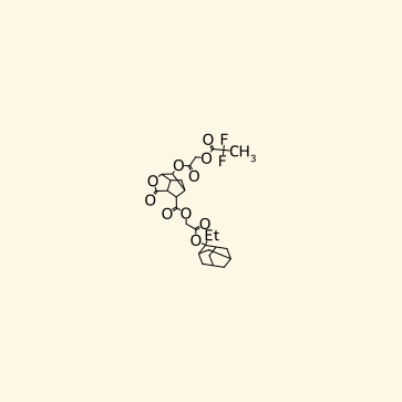 CCC1(OC(=O)COC(=O)C2C3CC4C(OC(=O)C42)C3OC(=O)COC(=O)C(C)(F)F)C2CC3CC(C2)CC1C3